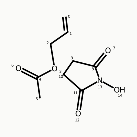 C=CCOC(C)=O.O=C1CCC(=O)N1O